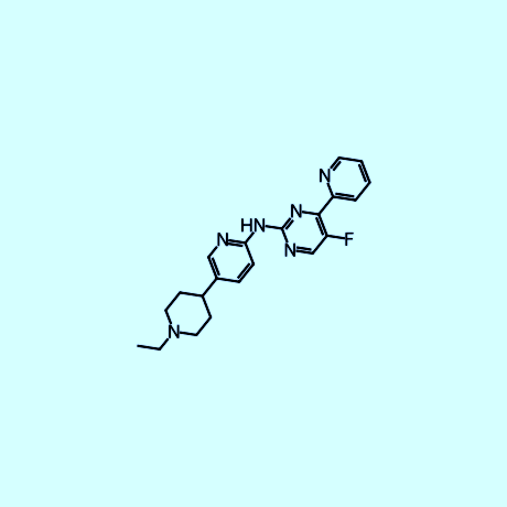 CCN1CCC(c2ccc(Nc3ncc(F)c(-c4ccccn4)n3)nc2)CC1